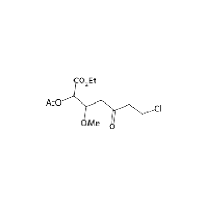 CCOC(=O)C(OC(C)=O)C(CC(=O)CCCl)OC